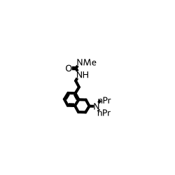 CCCN(CCC)C1CCc2cccc(CCNC(=O)NC)c2C1